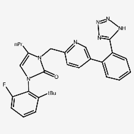 CCCc1cn(-c2c(F)cccc2C(C)(C)C)c(=O)n1Cc1ccc(-c2ccccc2-c2nnn[nH]2)cn1